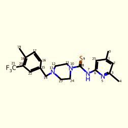 Cc1cc(C)nc(NC(=S)N2CCN(Cc3ccc(C)c(C(F)(F)F)c3)CC2)c1